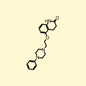 O=C1CCc2c(cccc2OCCN2CCN(c3ccccc3)CC2)N1